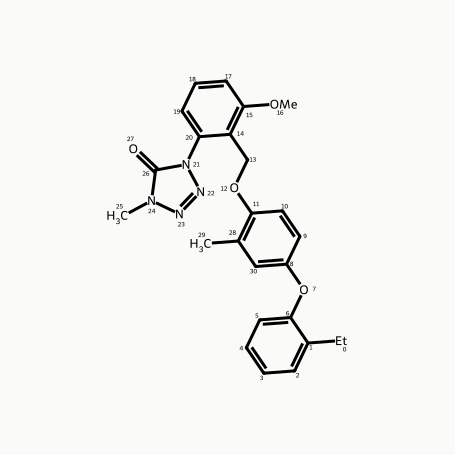 CCc1ccccc1Oc1ccc(OCc2c(OC)cccc2-n2nnn(C)c2=O)c(C)c1